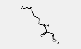 C=CC(=O)NCCCSC(C)=O